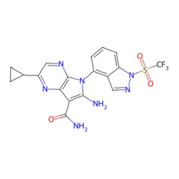 NC(=O)c1c(N)n(-c2cccc3c2cnn3S(=O)(=O)C(F)(F)F)c2ncc(C3CC3)nc12